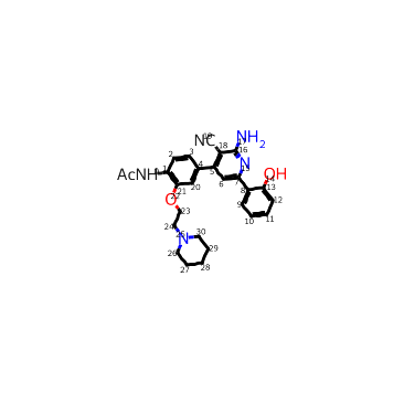 CC(=O)Nc1ccc(-c2cc(-c3ccccc3O)nc(N)c2C#N)cc1OCCN1CCCCC1